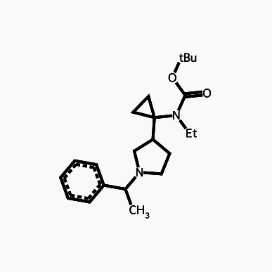 CCN(C(=O)OC(C)(C)C)C1(C2CCN(C(C)c3ccccc3)C2)CC1